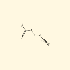 C#CCCCC(O)=S